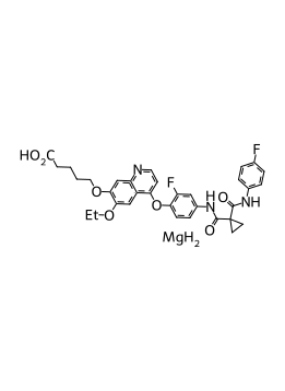 CCOc1cc2c(Oc3ccc(NC(=O)C4(C(=O)Nc5ccc(F)cc5)CC4)cc3F)ccnc2cc1OCCCCC(=O)O.[MgH2]